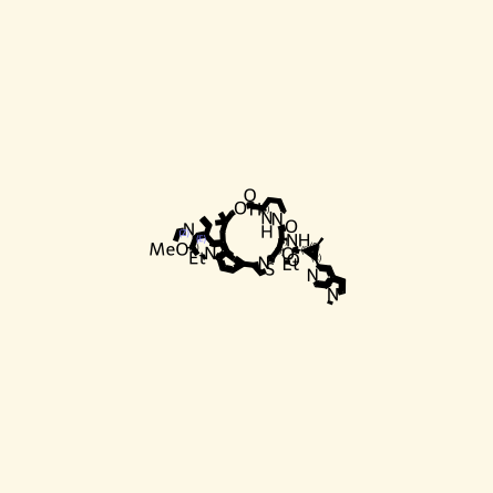 C=C/C(=C(\N=C/C)[C@H](C)OC)c1c2c3cc(ccc3n1CC)C1CSC(=N1)[C@@H](OCC)[C@H](NC(=O)[C@@H]1[C@@H](C)[C@H]1c1cc3ccn(C)c3cn1)C(=O)N1CCC[C@H](N1)C(=O)OCC(C)(C)C2